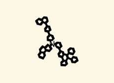 c1ccc(-c2c(-c3ccccc3)c3cc(-c4cccc(N(c5ccc(-c6ccc(-c7cccc8ccccc78)cc6)cc5)c5ccc6c(ccc7ccccc76)c5)c4)ccc3c3ccccc23)cc1